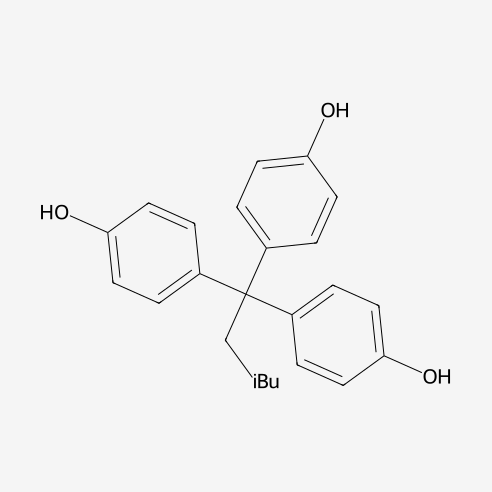 CCC(C)CC(c1ccc(O)cc1)(c1ccc(O)cc1)c1ccc(O)cc1